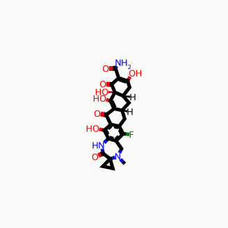 CN1Cc2c(F)c3c(c(O)c2NC(=O)C12CC2)C(=O)C1=C(O)[C@]2(O)C(=O)C(C(N)=O)=C(O)C[C@@H]2C[C@@H]1C3